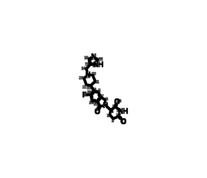 O=C1CCC(N2Cc3cc(C4CCN(Cc5cnc[nH]5)CC4)c(F)cc3C2=O)C(=O)N1